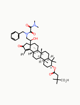 CC(C)C1=C2[C@H]3CC[C@@H]4[C@@]5(C)CC[C@H](OC(=O)CC(C)(C)C(=O)O)C(C)(C)[C@@H]5CC[C@@]4(C)[C@]3(C)CCC2(C(O)CN(Cc2ccccc2)C(=O)C(=O)N(C)C)CC1=O